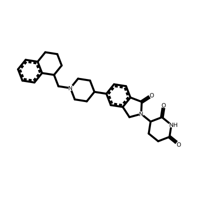 O=C1CCC(N2Cc3cc(C4CCN(CC5CCCc6ccccc65)CC4)ccc3C2=O)C(=O)N1